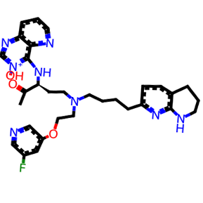 CC(=O)[C@H](CCN(CCCCc1ccc2c(n1)NCCC2)CCOc1cncc(F)c1)Nc1c2ncccc2nc[n+]1O